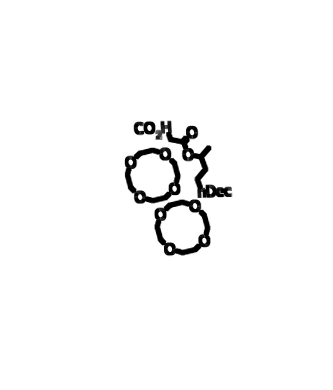 C1COCCOCCOCCO1.C1COCCOCCOCCO1.CCCCCCCCCCCCC(C)OC(=O)CC(=O)O